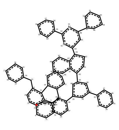 c1ccc(Cc2ccccc2-c2c(Cc3ccccc3)cccc2-c2cccc(-c3cc(-c4ccccc4)cc(-c4ccc(-c5cc(-c6ccccc6)nc(-c6ccccc6)n5)c5ccccc45)c3)c2)cc1